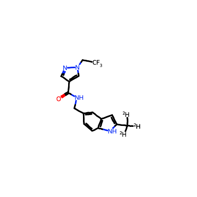 [2H]C([2H])([2H])c1cc2cc(CNC(=O)c3cnn(CC(F)(F)F)c3)ccc2[nH]1